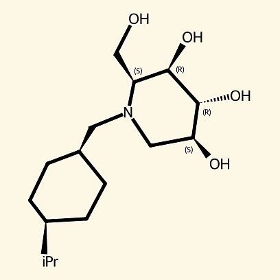 CC(C)[C@H]1CC[C@@H](CN2C[C@H](O)[C@@H](O)[C@H](O)[C@@H]2CO)CC1